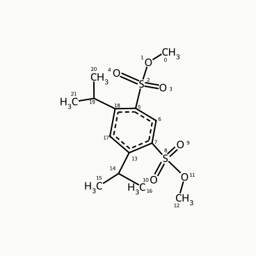 COS(=O)(=O)c1cc(S(=O)(=O)OC)c(C(C)C)cc1C(C)C